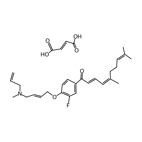 C=CCN(C)CC=CCOc1ccc(C(=O)C=CC=C(C)CCC=C(C)C)cc1F.O=C(O)C=CC(=O)O